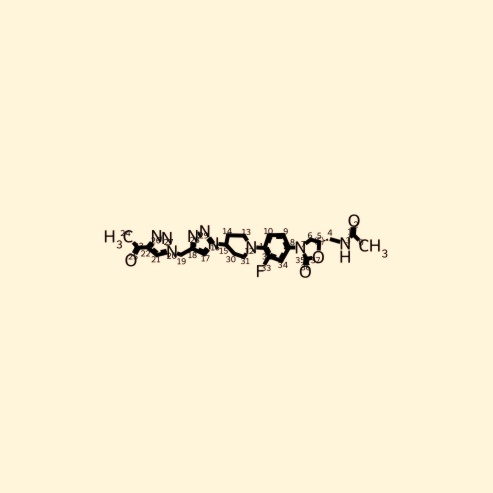 CC(=O)NC[C@H]1CN(c2ccc(N3CCC(n4cc(Cn5cc(C(C)=O)nn5)nn4)CC3)c(F)c2)C(=O)O1